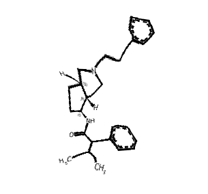 CC(C)C(C(=O)N[C@H]1CC[C@@H]2CN(CCc3ccccc3)C[C@@H]21)c1ccccc1